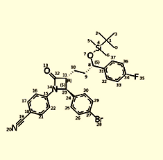 CC(C)(C)[Si](C)(C)O[C@@H](CC[C@H]1C(=O)N(c2ccc(C#N)cc2)[C@@H]1c1ccc(Br)cc1)c1ccc(F)cc1